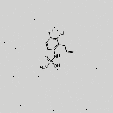 C=CCc1c(NP(N)(=O)O)ccc(O)c1Cl